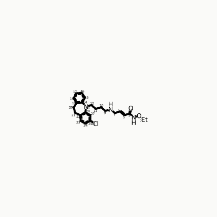 CCONC(=O)/C=C/CNCCCCN1c2ccccc2CCc2ccc(Cl)cc21